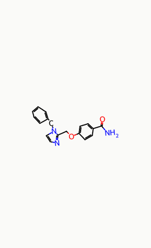 NC(=O)c1ccc(OCc2nccn2Cc2ccccc2)cc1